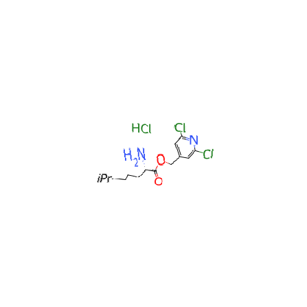 CC(C)CCC[C@H](N)C(=O)OCc1cc(Cl)nc(Cl)c1.Cl